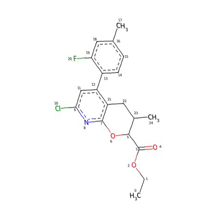 CCOC(=O)C1Oc2nc(Cl)cc(-c3ccc(C)cc3F)c2CC1C